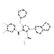 COC(=O)c1c(-c2ccc3ccccc3c2)oc(Cc2ccccc2)c1C(=O)c1ccc(Br)c(C)c1